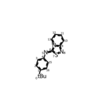 CC(C)(C)c1ccc(/N=c2\snc3ccccn23)cc1